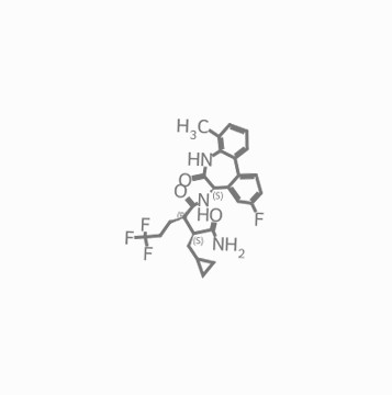 Cc1cccc2c1NC(=O)[C@@H](NC(=O)[C@H](CCC(F)(F)F)[C@H](CC1CC1)C(N)=O)c1cc(F)ccc1-2